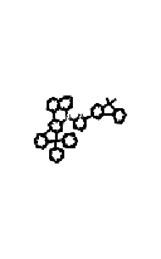 CC1(C)c2ccccc2-c2cc(-c3cccc(N4c5cc6c(cc5-c5cccc7cccc4c57)-c4ccccc4C6(c4ccccc4)c4ccccc4)n3)ccc21